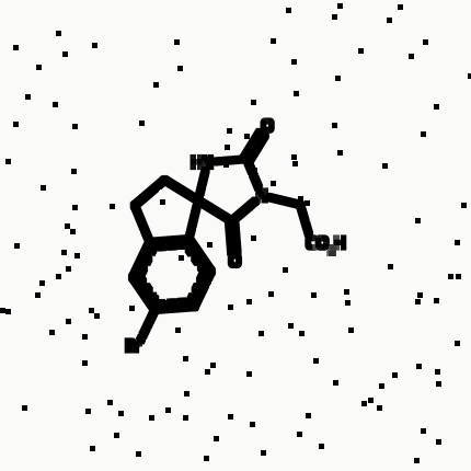 O=C(O)CN1C(=O)NC2(CCc3cc(Br)ccc32)C1=O